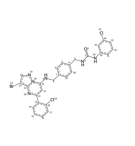 O=C(NCc1ccc(CNc2cc(-c3ccccc3Cl)nc3c(Br)cnn23)cc1)Nc1cccc(Cl)c1